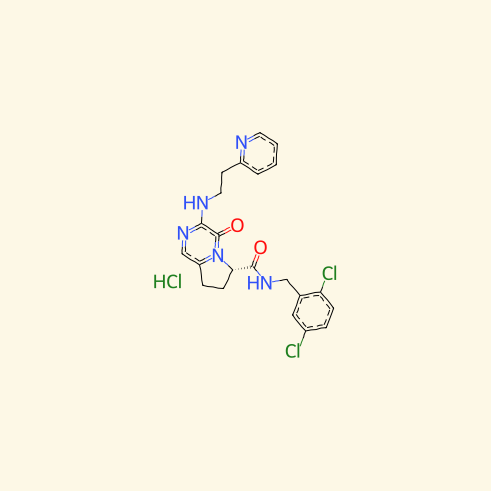 Cl.O=C(NCc1cc(Cl)ccc1Cl)[C@@H]1CCc2cnc(NCCc3ccccn3)c(=O)n21